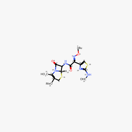 CCCCON=C(C(=O)NC1C(=O)N2C(C(=O)O)=C(OC)CS[C@@H]12)c1csc(NC=O)n1